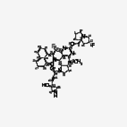 CN(c1nc(OC[C@@]23CCCN2C[C@H](F)C3)nc2c(F)c(-c3cccc4cccc(Cl)c34)ncc12)[C@@H]1CCN(C(=O)C#CC2(O)CNC2)C1